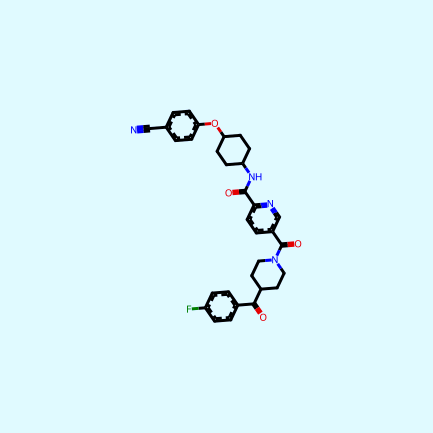 N#Cc1ccc(OC2CCC(NC(=O)c3ccc(C(=O)N4CCC(C(=O)c5ccc(F)cc5)CC4)cn3)CC2)cc1